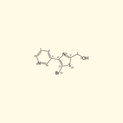 OCc1nc(-c2cccnc2)c(Br)s1